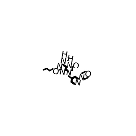 CCCCOc1nc(N)c2c(n1)N(Cc1ccnc(N3CCOCC3)c1)CC(=O)N2